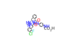 O=C(O)Nc1ccc(NC(=O)C2c3ccccc3CCN2C(=O)/C=C/c2c(-n3cnnn3)ccc(Cl)c2F)cc1